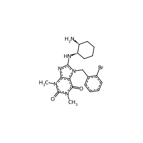 Cn1c(=O)c2c(nc(N[C@@H]3CCCC[C@@H]3N)n2Cc2ccccc2Br)n(C)c1=O